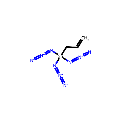 C=C[CH2][Sn]([N]=[N+]=[N-])([N]=[N+]=[N-])[N]=[N+]=[N-]